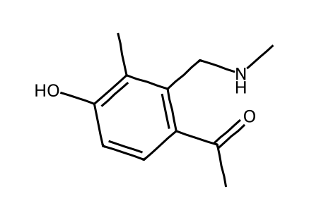 CNCc1c(C(C)=O)ccc(O)c1C